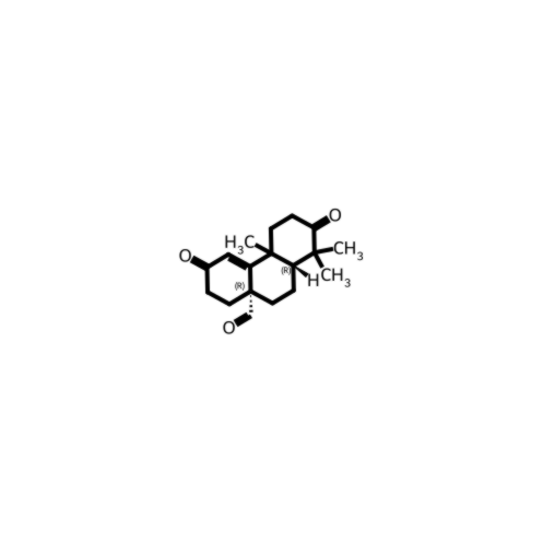 CC1(C)C(=O)CCC2(C)C3=CC(=O)CC[C@]3(C=O)CC[C@@H]12